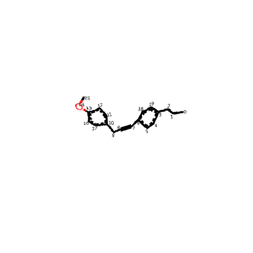 CCCc1ccc(C#CCc2ccc(OC)cc2)cc1